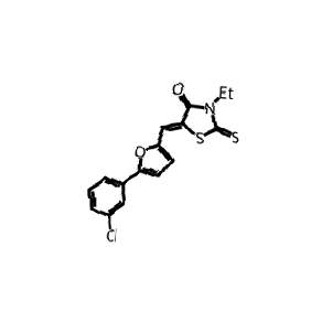 CCN1C(=O)C(=Cc2ccc(-c3cccc(Cl)c3)o2)SC1=S